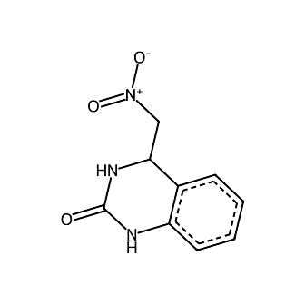 O=C1Nc2ccccc2C(C[N+](=O)[O-])N1